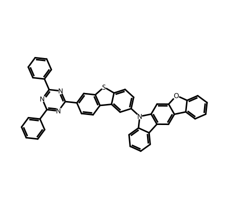 c1ccc(-c2nc(-c3ccccc3)nc(-c3ccc4c(c3)sc3ccc(-n5c6ccccc6c6cc7c(cc65)oc5ccccc57)cc34)n2)cc1